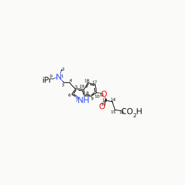 CC(C)N(C)CCc1c[nH]c2cc(OC(=O)CCC(=O)O)ccc12